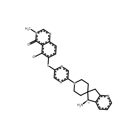 Cn1cnc2ccc(Sc3cnc(N4CCC5(CC4)Cc4ncccc4[C@H]5N)cn3)c(Cl)c2c1=O